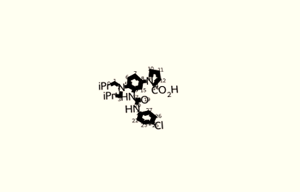 CC(C)CN(CC(C)C)c1ccc(-n2cccc2C(=O)O)cc1NC(=O)Nc1ccc(Cl)cc1